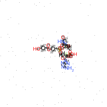 Nc1ncnc2c1ncn2[C@@H]1O[C@@H]2CO[P@](=O)(SCc3ccc(OC(=O)c4ccc(O)cc4)cc3)O[C@@H]3[C@H](F)[C@@H](COP(=O)(O)O[C@@H]1[C@@H]2F)O[C@H]3n1ccc(=O)[nH]c1=O